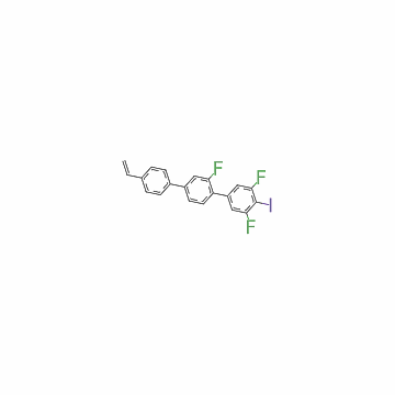 C=Cc1ccc(-c2ccc(-c3cc(F)c(I)c(F)c3)c(F)c2)cc1